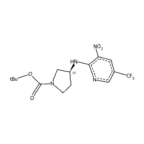 CC(C)(C)OC(=O)N1CC[C@H](Nc2ncc(C(F)(F)F)cc2[N+](=O)[O-])C1